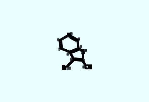 N#Cc1sc2cnccc2c1Br